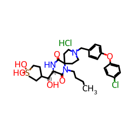 CCCCN1C(=O)[C@@H]([C@H](O)C2CCS(O)(O)CC2)NC(=O)C12CCN(Cc1ccc(Oc3ccc(Cl)cc3)cc1)CC2.Cl